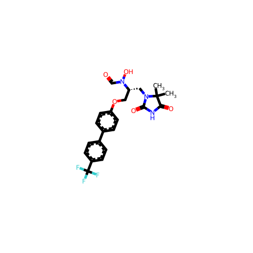 CC1(C)C(=O)NC(=O)N1C[C@H](COc1ccc(-c2ccc(C(F)(F)F)cc2)cc1)N(O)C=O